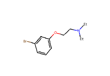 CCN(CC)CCOc1cccc(Br)c1